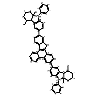 CC1CCCC2(C)C1c1cc(-c3ccc4c(c3)Cc3c-4c4ccccc4c4cc(-c5ccc6c(c5)C5C(C)CCCC5(C)N6c5ccccc5)ccc34)ccc1N2c1ccccc1